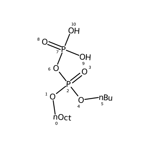 CCCCCCCCOP(=O)(OCCCC)OP(=O)(O)O